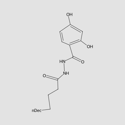 CCCCCCCCCCCCCC(=O)NNC(=O)c1ccc(O)cc1O